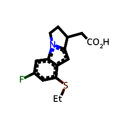 CCSc1cc(F)cc2c1cc1n2CCC1CC(=O)O